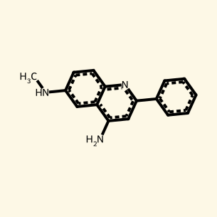 CNc1ccc2nc(-c3ccccc3)cc(N)c2c1